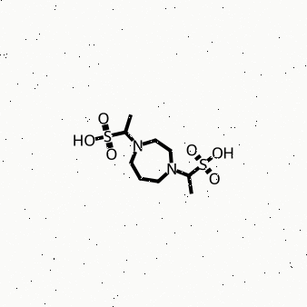 CC(N1CCCN(C(C)S(=O)(=O)O)CC1)S(=O)(=O)O